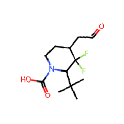 CC(C)(C)C1N(C(=O)O)CCC(CC=O)C1(F)F